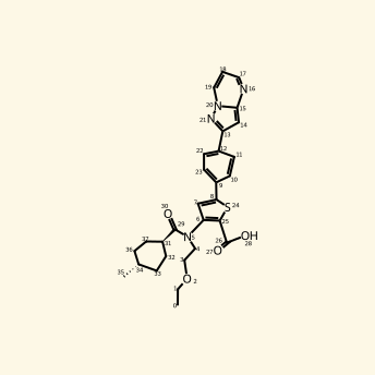 CCOCCN(c1cc(-c2ccc(-c3cc4ncccn4n3)cc2)sc1C(=O)O)C(=O)[C@H]1CC[C@H](C)CC1